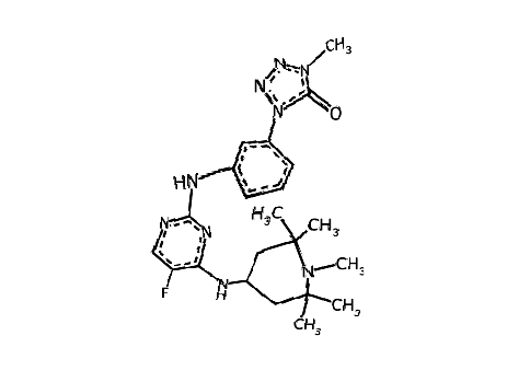 CN1C(C)(C)CC(Nc2nc(Nc3cccc(-n4nnn(C)c4=O)c3)ncc2F)CC1(C)C